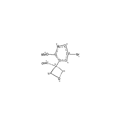 COc1ncc(Br)cc1C1(C=O)COC1